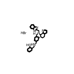 Br.Oc1ccccc1CNCc1ccc(CN(Cc2nc3ccccc3[nH]2)C2CCCc3cccnc32)cc1